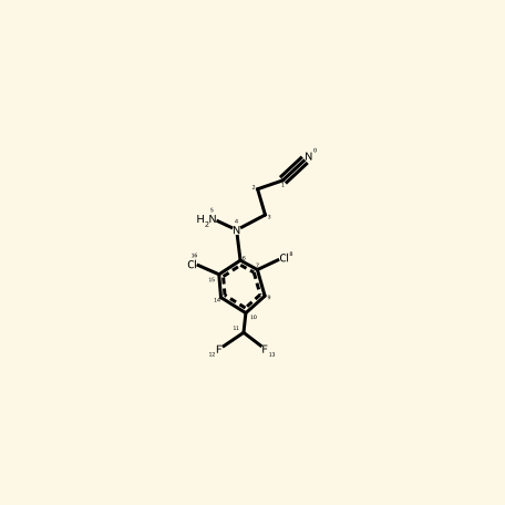 N#CCCN(N)c1c(Cl)cc(C(F)F)cc1Cl